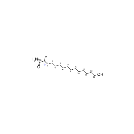 C/C(=C\CCCCCCCCCCCCO)C(N)=O